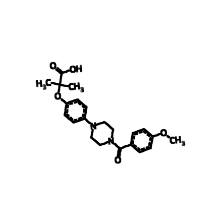 COc1ccc(C(=O)N2CCN(c3ccc(OC(C)(C)C(=O)O)cc3)CC2)cc1